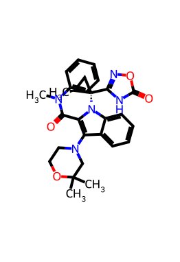 C[C@H]1C[C@]1(c1noc(=O)[nH]1)n1c(C(=O)N(C)c2ccccc2)c(N2CCOC(C)(C)C2)c2ccccc21